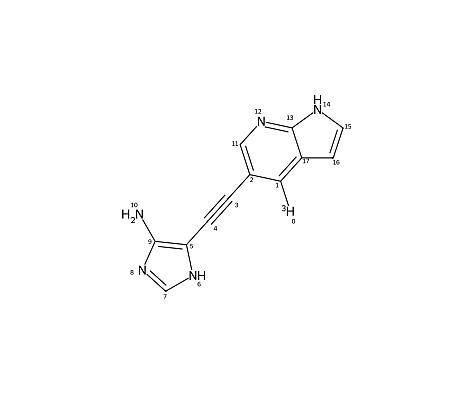 [3H]c1c(C#Cc2[nH]cnc2N)cnc2[nH]ccc12